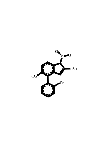 CCCCC1=Cc2c(ccc(C(C)(C)C)c2-c2ccccc2C(C)C)[CH]1[Zr]([Cl])[Cl]